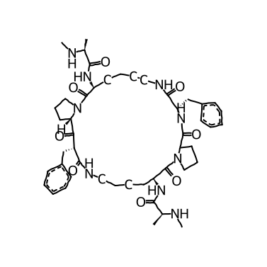 CN[C@@H](C)C(=O)N[C@H]1CCCCNC(=O)[C@H](Cc2ccccc2)C(=O)[C@@H]2CCCN2C(=O)[C@@H](NC(=O)[C@H](C)NC)CCCCNC(=O)[C@H](Cc2ccccc2)NC(=O)C2CCCN2C1=O